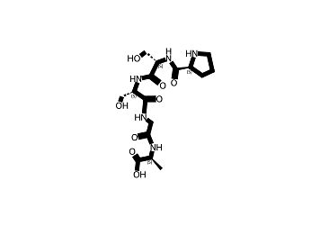 C[C@H](NC(=O)CNC(=O)[C@H](CO)NC(=O)[C@H](CO)NC(=O)[C@@H]1CCCN1)C(=O)O